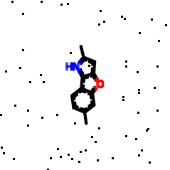 Cc1ccc2c(c1)oc1cc(C)[nH]c12